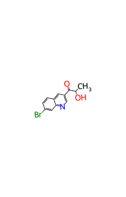 CC(O)C(=O)c1cnc2cc(Br)ccc2c1